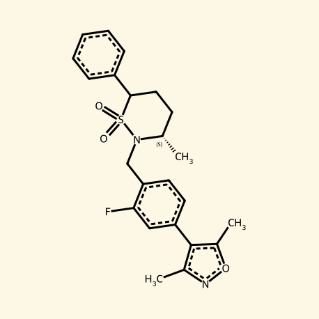 Cc1noc(C)c1-c1ccc(CN2[C@@H](C)CCC(c3ccccc3)S2(=O)=O)c(F)c1